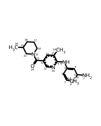 C/C=C\C(=C/C(C)N)Nc1ncc(C(=O)N2CCCC(C)C2)cc1C